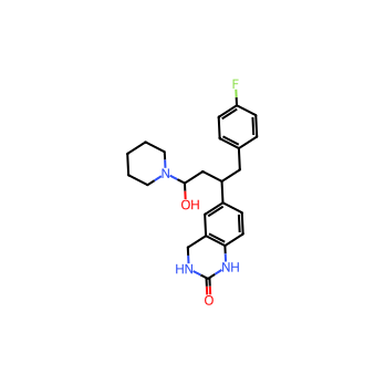 O=C1NCc2cc(C(Cc3ccc(F)cc3)CC(O)N3CCCCC3)ccc2N1